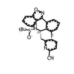 CC(C)(C)[S+]([O-])N[C@@H](Cc1cccc(C#N)n1)c1c(F)cccc1-c1noc2ccccc12